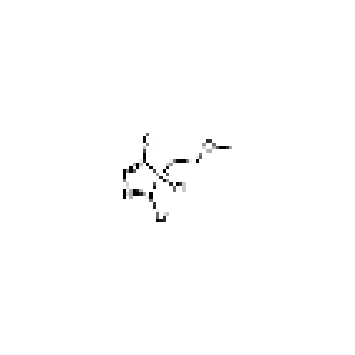 COCC[N+]1(Cl)C(Cl)=CN=C1Br